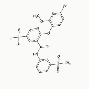 COc1nc(Br)ccc1Oc1ncc(C(F)(F)F)cc1C(=O)Nc1cccc(S(C)(=O)=O)c1